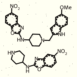 COc1ccc2[nH]c(CN3CCC(Nc4nc5cc([N+](=O)[O-])ccc5o4)CC3)cc2c1.O=[N+]([O-])c1ccc2oc(NC3CCNCC3)nc2c1